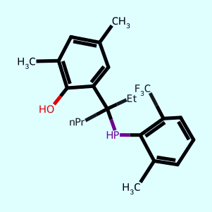 CCCC(CC)(Pc1c(C)cccc1C(F)(F)F)c1cc(C)cc(C)c1O